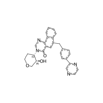 O=c1c2cc(Cc3ccc(-c4cnccn4)cc3)c3ccccc3c2ncn1[C@H]1CCOC[C@@H]1O